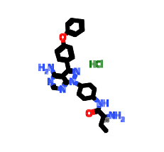 CC[C@H](N)C(=O)NC1CCC(n2nc(-c3ccc(Oc4ccccc4)cc3)c3c(N)ncnc32)CC1.Cl